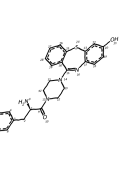 N[C@H](Cc1ccccc1)C(=O)N1CCN(C2=Nc3ccc(O)cc3Sc3ccccc32)CC1